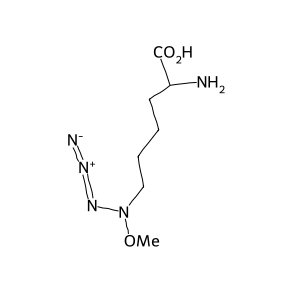 CON(CCCCC(N)C(=O)O)N=[N+]=[N-]